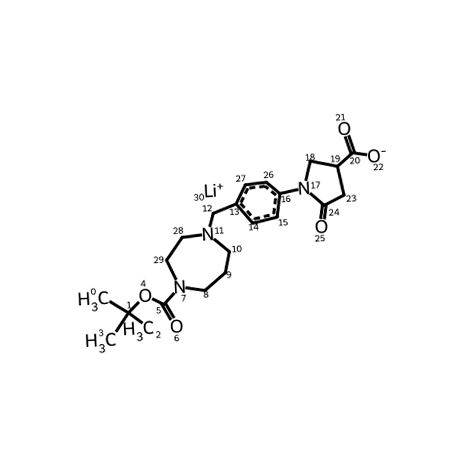 CC(C)(C)OC(=O)N1CCCN(Cc2ccc(N3CC(C(=O)[O-])CC3=O)cc2)CC1.[Li+]